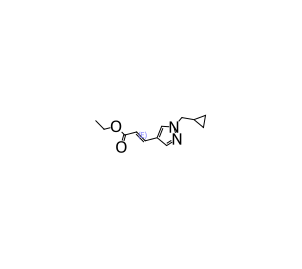 CCOC(=O)/C=C/c1cnn(CC2CC2)c1